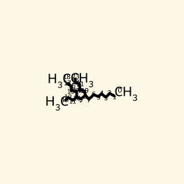 CCCCCCCCC([CH]C(CCC)CCCCC)CCCCC